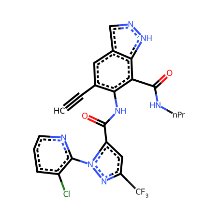 C#Cc1cc2cn[nH]c2c(C(=O)NCCC)c1NC(=O)c1cc(C(F)(F)F)nn1-c1ncccc1Cl